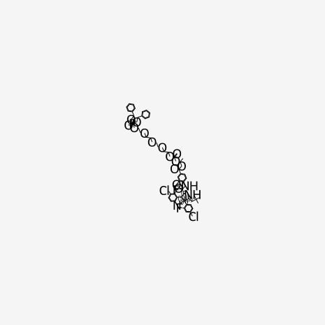 COc1cc(C(=O)OC(C)OC(=O)OCCOCCOCCOCCOP(=O)(OCc2ccccc2)OCc2ccccc2)ccc1NC(=O)[C@@H]1N[C@@H](CC(C)(C)C)[C@](C#N)(c2ccc(Cl)cc2F)[C@H]1c1cccc(Cl)c1F